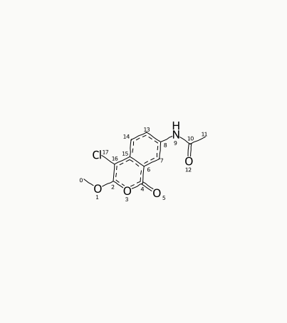 COc1oc(=O)c2cc(NC(C)=O)ccc2c1Cl